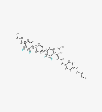 C/C=C/CCC1CCC(CC/C=C(\CCC)c2ccc(-c3ccc(-c4ccc(CCCC)c(F)c4F)cc3)c(F)c2F)CC1